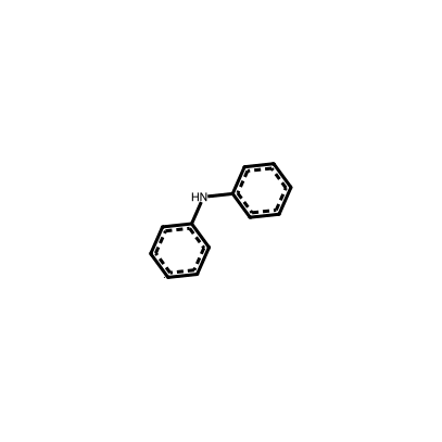 [c]1ccc(Nc2ccccc2)cc1